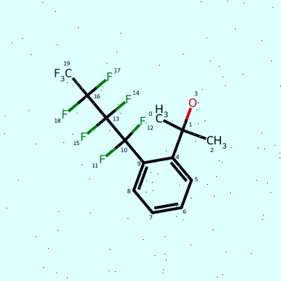 CC(C)([O])c1ccccc1C(F)(F)C(F)(F)C(F)(F)C(F)(F)F